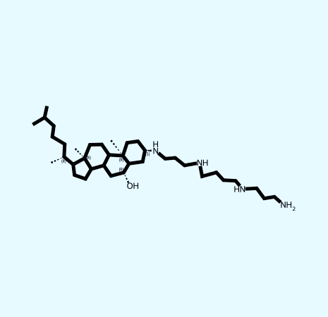 CC(C)CCC[C@@H](C)C1CCC2C3C[C@@H](O)C4C[C@@H](NCCCNCCCCNCCCN)CC[C@]4(C)C3CC[C@@]21C